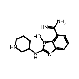 N=C(N)c1cccc2nc(NC3CCCNC3)n(O)c12